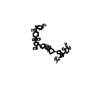 Cn1nc(N2CCC(=O)NC2=O)c2ccc(C3CCN(CC4(O)CCN(c5cc(S(=O)(=O)N6CCC(Nc7ncc(Cl)cn7)CC6)ccc5C#N)CC4)CC3)cc21